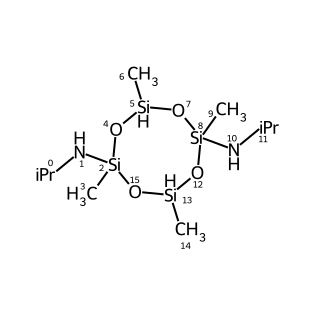 CC(C)N[Si]1(C)O[SiH](C)O[Si](C)(NC(C)C)O[SiH](C)O1